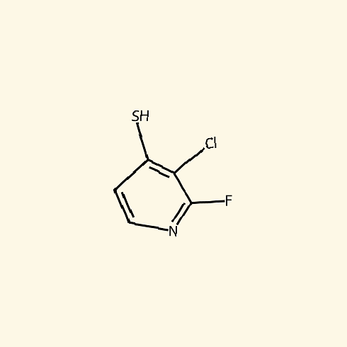 Fc1nccc(S)c1Cl